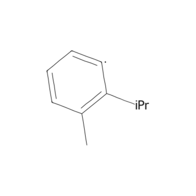 Cc1ccc[c]c1C(C)C